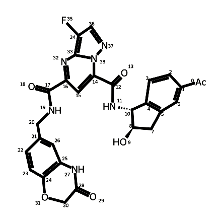 CC(=O)c1ccc2c(c1)C[C@@H](O)[C@@H]2NC(=O)c1cc(C(=O)NCc2ccc3c(c2)NC(=O)CO3)nc2c(F)cnn12